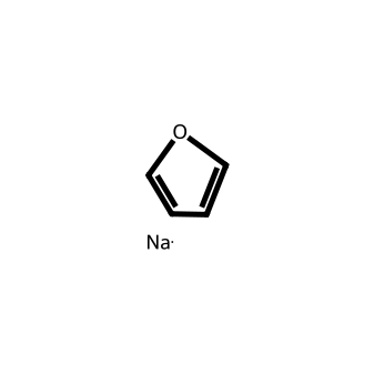 [Na].c1ccoc1